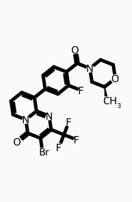 C[C@H]1CN(C(=O)c2ccc(-c3cccn4c(=O)c(Br)c(C(F)(F)F)nc34)cc2F)CCO1